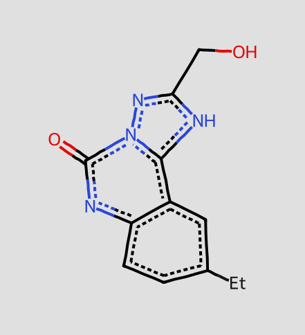 CCc1ccc2nc(=O)n3nc(CO)[nH]c3c2c1